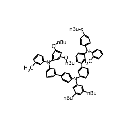 CCCCOc1cc(OCCCC)cc(N(c2cccc(C)c2)c2cccc(-c3ccc(N(c4cc(CCCC)cc(CCCC)c4)c4cccc(-c5cccc(N(c6ccc(SCCCC)cc6)c6ccccc6C)c5)c4)cc3)c2)c1